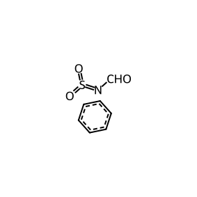 O=CN=S(=O)=O.c1ccccc1